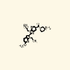 CCn1c(-c2nc3cc(C(=O)N4CCC[C@@H](N)C4)cnc3n2CCOC)cc2ccc(OC)nc21